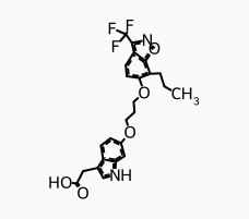 CCCc1c(OCCCOc2ccc3c(CC(=O)O)c[nH]c3c2)ccc2c(C(F)(F)F)noc12